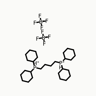 C1CCC([PH+](CCCC[PH+](C2CCCCC2)C2CCCCC2)C2CCCCC2)CC1.F[B-](F)(F)F.F[B-](F)(F)F